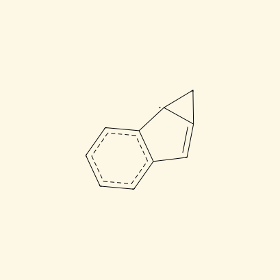 C1=C2C[C]2c2ccccc21